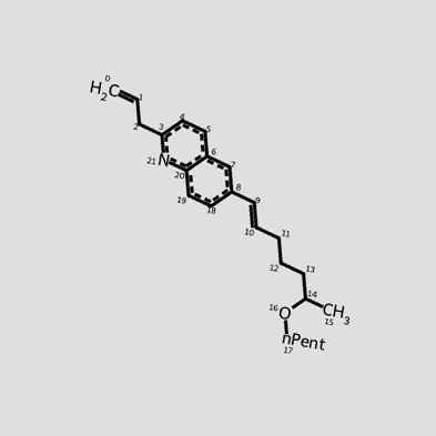 C=CCc1ccc2cc(C=CCCCC(C)OCCCCC)ccc2n1